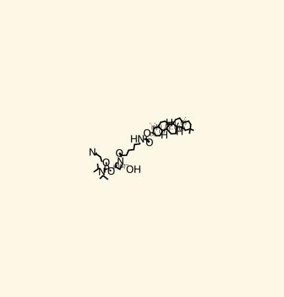 CC(C)N(C(C)C)P(OCCC#N)O[C@@H]1C[C@@H](CO)N(C(=O)CCCCCNC(=O)O[C@H]2CC[C@@H]3[C@](C)(CC[C@H]4[C@@]3(C)CC[C@@]3(C)[C@@H]5CC(C)(C)CC[C@]5(C)CC[C@]43C)[C@H]2C)C1